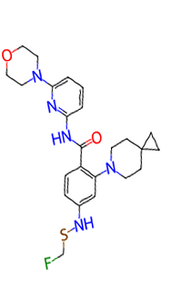 O=C(Nc1cccc(N2CCOCC2)n1)c1ccc(NSCF)cc1N1CCC2(CC1)CC2